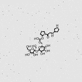 O=C(CN[C@@H]1CCNC1)N1CCC[C@H]1OB(O)OC[C@H]1O[C@H](O[C@]2(CO)O[C@H](CO)[C@@H](O)[C@@H]2O)[C@H](O)[C@@H](O)[C@@H]1O